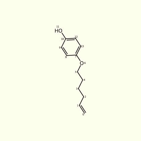 C=CCCCCOc1ccc(O)cc1